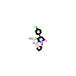 CC1=C(C(=O)O)[C@@H](c2ccc(Cl)cc2)CC(=O)N1C[C@@H]1CCCO1